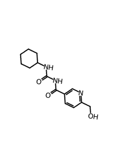 O=C(NC(=O)c1ccc(CO)nc1)NC1CCCCC1